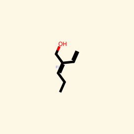 C=C/C(=C\CC)CO